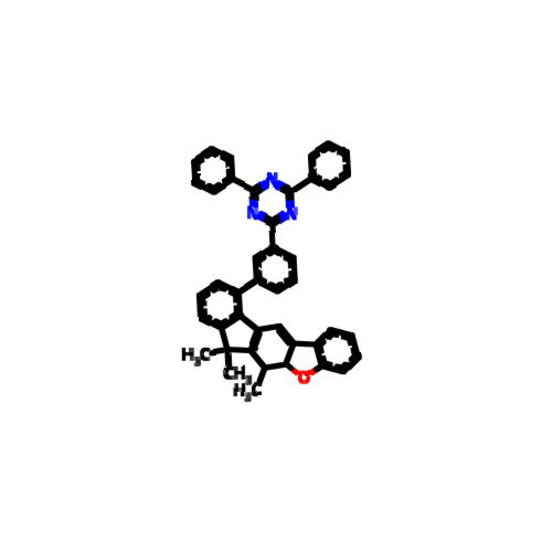 CC1C2=C(C=C3c4ccccc4OC31)c1c(-c3cccc(-c4nc(-c5ccccc5)nc(-c5ccccc5)n4)c3)cccc1C2(C)C